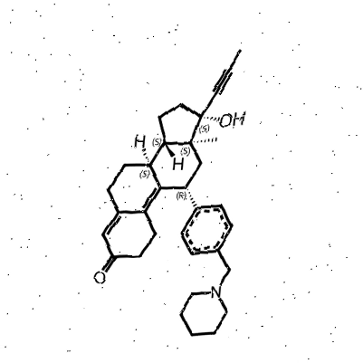 CC#C[C@]1(O)CC[C@H]2[C@@H]3CCC4=CC(=O)CCC4=C3[C@@H](c3ccc(CN4CCCCC4)cc3)C[C@@]21C